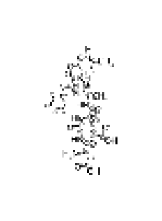 CC(C)C[C@H](NC(=O)[C@H](Cc1ccccc1)NC(=O)[C@H](C)NC(=O)[C@H](C)NC(=O)[C@H](CCC(=O)O)NC(=O)[C@@H](N)CC(=O)O)C(=O)O